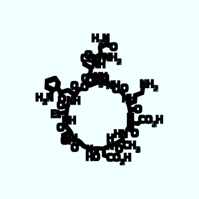 CCC1NC(=O)C(CO)NC(=O)CNC(=O)C(CC(=O)O)NC(=O)C(C)NC(=O)C(CC(=O)O)NC(=O)C(CCCN)NC(=O)CNC(=O)C(NC(=O)C(CC(=O)O)NC(=O)C(N)CC(N)=O)C(C)OC(=O)C(CC(=O)c2ccccc2N)NC1=O